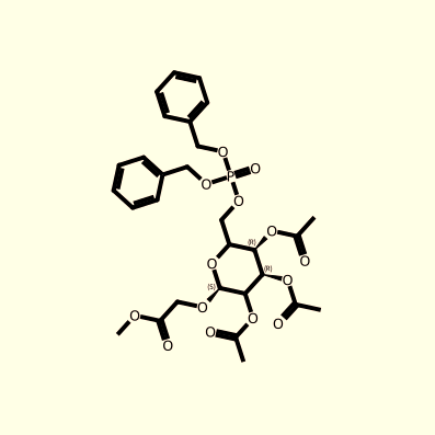 COC(=O)CO[C@H]1OC(COP(=O)(OCc2ccccc2)OCc2ccccc2)[C@@H](OC(C)=O)[C@@H](OC(C)=O)C1OC(C)=O